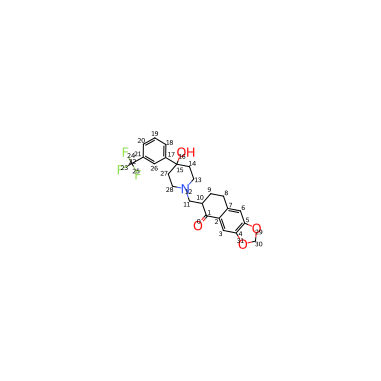 O=C1c2cc3c(cc2CCC1CN1CCC(O)(c2cccc(C(F)(F)F)c2)CC1)OCO3